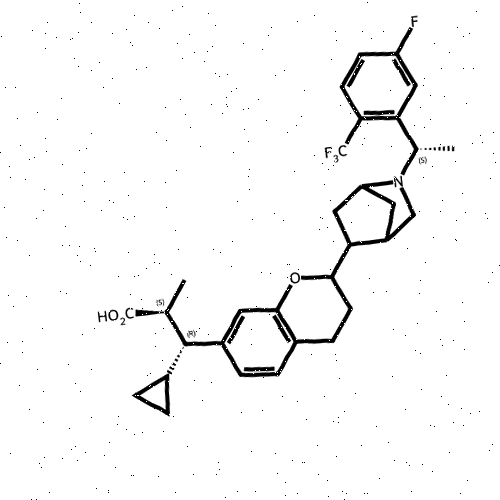 C[C@H](C(=O)O)[C@H](c1ccc2c(c1)OC(C1CC3CC1CN3[C@@H](C)c1cc(F)ccc1C(F)(F)F)CC2)C1CC1